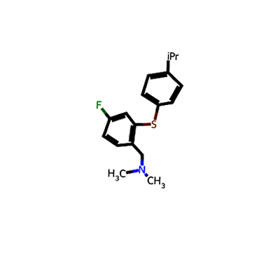 CC(C)c1ccc(Sc2cc(F)ccc2CN(C)C)cc1